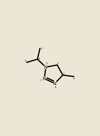 CC1CN(C(C)C)N=N1